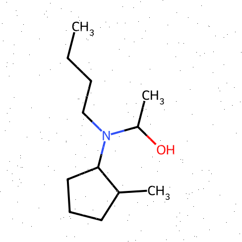 CCCCN(C(C)O)C1CCCC1C